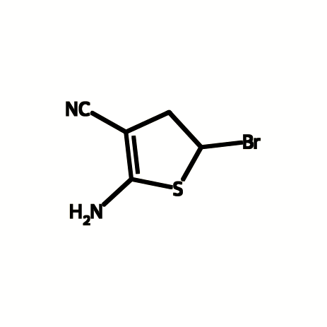 N#CC1=C(N)SC(Br)C1